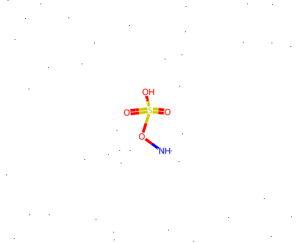 [NH]OS(=O)(=O)O